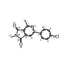 Cc1nc(-c2ccc(Cl)cc2)cc2c1C(=O)N(C)C2=O